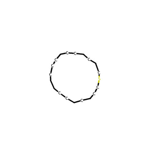 C1CCCCCCCCCSCCCCCCCCC1